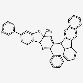 CC12N=C(N3c4cc5ccccc5cc4C4C=CC=CC43)C(c3ccccc3)=NC1c1ccc(-c3cccnc3)cc1O2